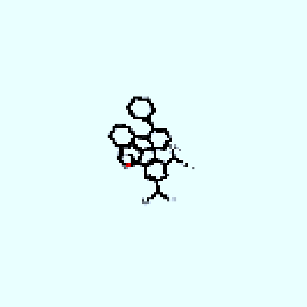 CC(C)c1cc(C(C)C)c(C2(c3ccccc3)C=CC=C(C3CCCCC3)C2C2CCCCC2)c(C(C)C)c1